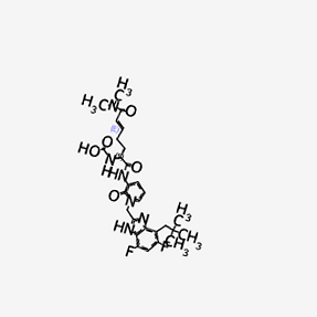 CN(C)C(=O)/C=C/CC[C@H](NC(=O)O)C(=O)Nc1cccn(Cc2nc3c(CC(C)(C)C)c(F)cc(F)c3[nH]2)c1=O